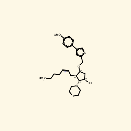 COc1ccc(-c2csc(CO[C@H]3C[C@@H](O)[C@H](N4CCOCC4)[C@H]3C/C=C\CCCC(=O)O)c2)cc1